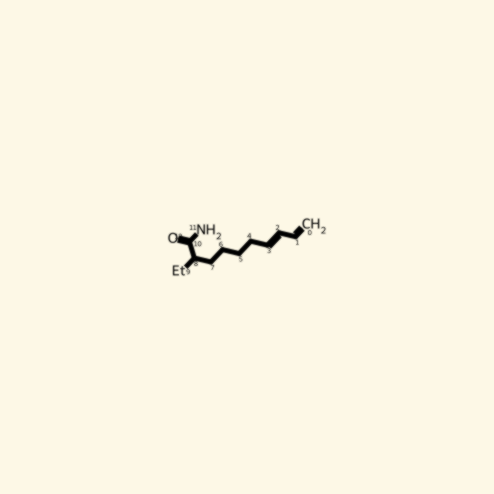 C=CC=CCCCCC(CC)C(N)=O